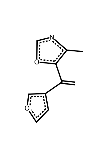 C=C(c1ccoc1)c1ocnc1C